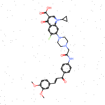 COc1ccc(/C=C/C(=O)c2ccc(NC(=O)CN3CCN(c4cc5c(cc4F)c(=O)c(C(=O)O)cn5C4CC4)CC3)cc2)cc1OC